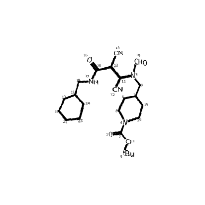 CC(C)(C)OC(=O)N1CCC(CN(C=O)C(C#N)C(C#N)C(=O)NCC2CCCCC2)CC1